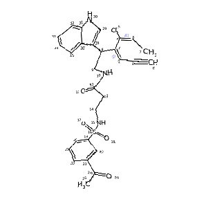 C#C/C=C(\C(Cl)=C/C)C(CNC(=O)CCNS(=O)(=O)c1cccc(C(C)=O)c1)c1c[nH]c2ccccc12